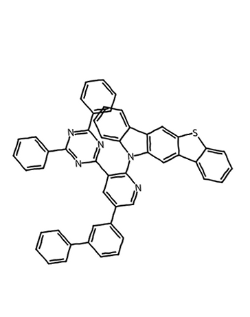 c1ccc(-c2cccc(-c3cnc(-n4c5ccccc5c5cc6sc7ccccc7c6cc54)c(-c4nc(-c5ccccc5)nc(-c5ccccc5)n4)c3)c2)cc1